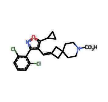 O=C(O)N1CCC2(CC1)CC(=Cc1c(-c3c(Cl)cccc3Cl)noc1C1CC1)C2